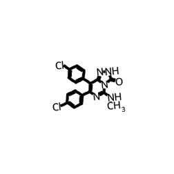 CNc1nc(-c2ccc(Cl)cc2)c(-c2ccc(Cl)cc2)c2n[nH]c(=O)n12